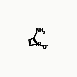 NC1=[N+]([O-])C=C1